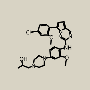 COc1cc(N2CCN(CC(C)O)CC2)ccc1Nc1ncc2ccc(-c3ccc(Cl)cc3OC)n2n1